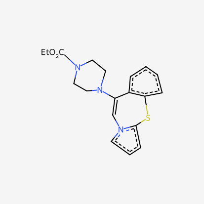 CCOC(=O)N1CCN(C2=Cn3cccc3Sc3ccccc32)CC1